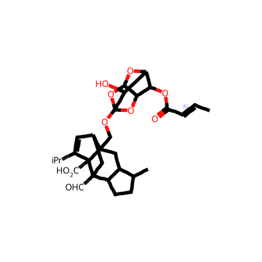 C/C=C/C(=O)OC1C2OC3(OCC45CC6C(C)CCC6C6(C=O)CC4C=C(C(C)C)C65C(=O)O)OC2OC1C3O